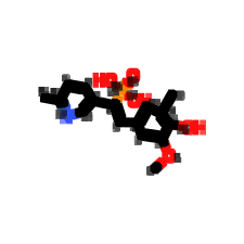 COc1cc(C=C(c2ccc(C)nc2)P(=O)(O)O)cc(C)c1O